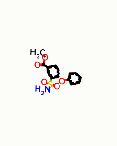 COC(=O)c1ccc(Oc2ccccc2)c(S(N)(=O)=O)c1